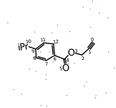 C#CCOC(=O)c1ccc(C(C)C)cc1